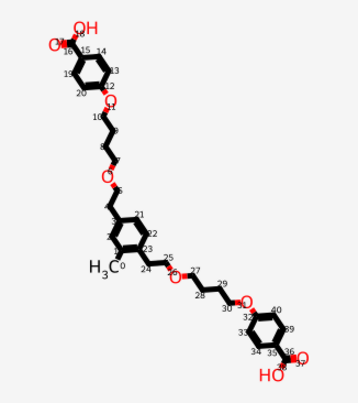 Cc1cc(CCOCCCCOc2ccc(C(=O)O)cc2)ccc1CCOCCCCOc1ccc(C(=O)O)cc1